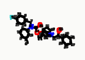 Cc1cccc(N(Cc2ccc(F)cc2)C(=O)O[C@H]2C[N+]3(CC(=O)c4ccccc4)CCC2CC3)c1